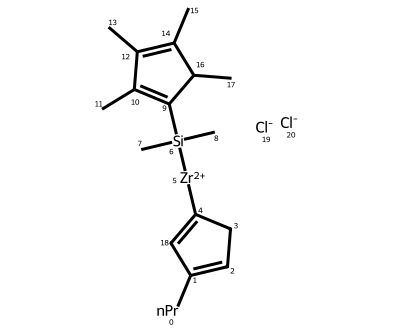 CCCC1=CC[C]([Zr+2][Si](C)(C)C2=C(C)C(C)=C(C)C2C)=C1.[Cl-].[Cl-]